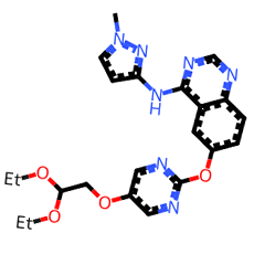 CCOC(COc1cnc(Oc2ccc3ncnc(Nc4ccn(C)n4)c3c2)nc1)OCC